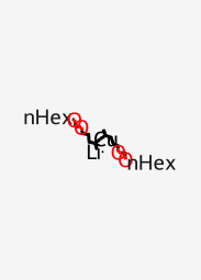 CCCCCCOCOCCC[CH](C)[Cu][CH](C)CCCOCOCCCCCC.[Li]